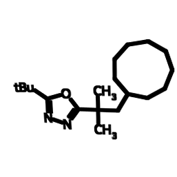 CC(C)(C)c1nnc(C(C)(C)CC2CCCCCCCC2)o1